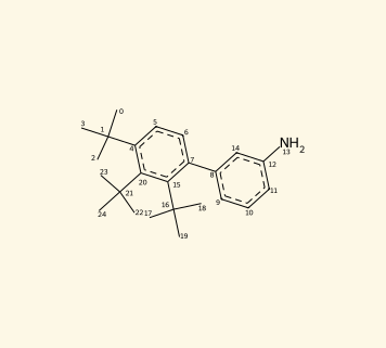 CC(C)(C)c1ccc(-c2cccc(N)c2)c(C(C)(C)C)c1C(C)(C)C